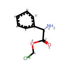 N[C@H](C(=O)OCCl)c1ccccc1